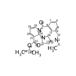 CCN(Cc1cccc(C=O)c1)[C@@H]1CCN(c2ncccc2C(=O)OC(C)C)C1